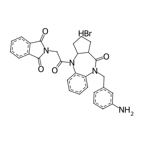 Br.Nc1cccc(CN2C(=O)C3CCCC3N(C(=O)CN3C(=O)c4ccccc4C3=O)c3ccccc32)c1